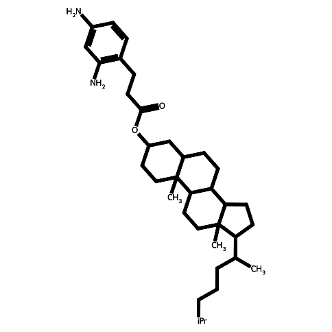 CC(C)CCCC(C)C1CCC2C3CCC4CC(OC(=O)CCc5ccc(N)cc5N)CCC4(C)C3CCC12C